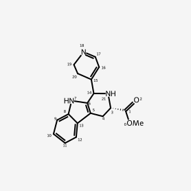 COC(=O)[C@@H]1Cc2c([nH]c3ccccc23)C(C2=CC=NCC2)N1